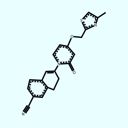 Cc1csc(COc2ccn(C3=Cc4ccc(C#N)cc4CC3)c(=O)c2)n1